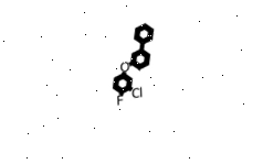 Fc1ccc(Oc2[c]ccc(-c3ccccc3)c2)cc1Cl